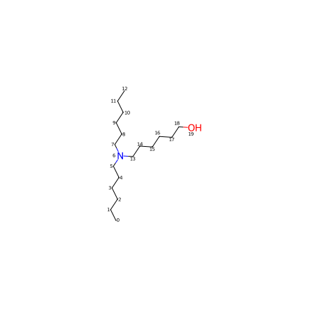 CCCCCCN(CCCCCC)CCCCCCO